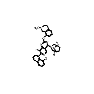 CN1CCc2cccc(Oc3nc(N4C[C@H]5CC[C@@H](C4)N5)c4cnc(-c5cccc6cccc(Cl)c56)c(F)c4n3)c2C1